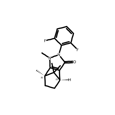 Cn1c2c(c(=O)n1-c1c(F)cccc1F)[C@H]1CC[C@]2(C)C1(C)C